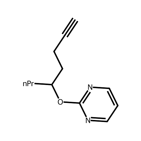 C#CCCC(CCC)Oc1ncccn1